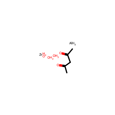 CC(=O)CC(C)=O.O.O.O.[AlH3].[Zr]